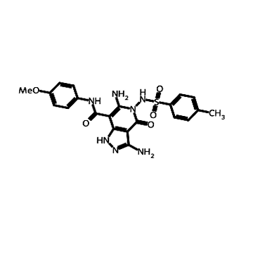 COc1ccc(NC(=O)c2c(N)n(NS(=O)(=O)c3ccc(C)cc3)c(=O)c3c(N)n[nH]c23)cc1